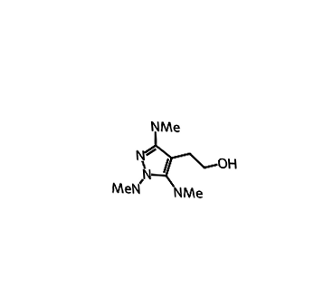 CNc1nn(NC)c(NC)c1CCO